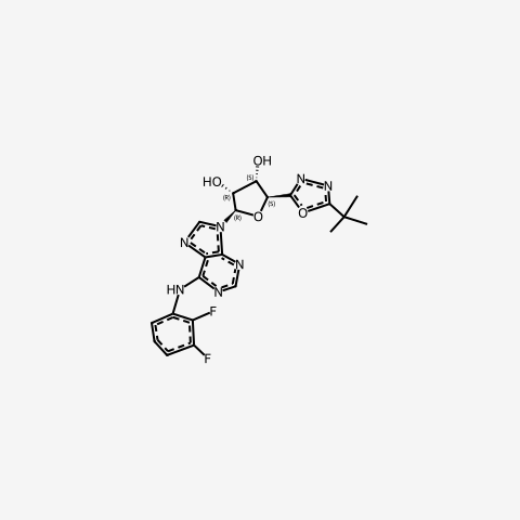 CC(C)(C)c1nnc([C@H]2O[C@@H](n3cnc4c(Nc5cccc(F)c5F)ncnc43)[C@H](O)[C@@H]2O)o1